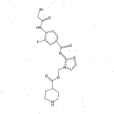 CC(C)CC(=O)Nc1ccc(C(=O)N=c2sccn2COC(=O)C2CCNCC2)cc1F